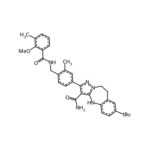 COc1c(C)cccc1C(=O)NCc1ccc(-c2nn3c(c2C(N)=O)Nc2ccc(C(C)(C)C)cc2CC3)cc1C